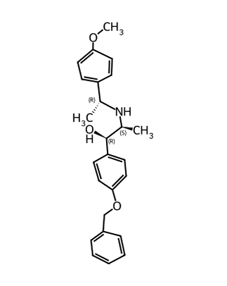 COc1ccc([C@@H](C)N[C@@H](C)[C@H](O)c2ccc(OCc3ccccc3)cc2)cc1